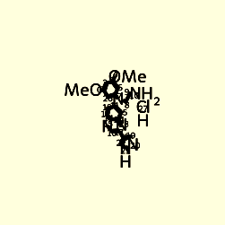 COc1cc(OC)cc(N(CCN)c2ccc3ncc(-c4cn[nH]c4)nc3c2)c1.Cl